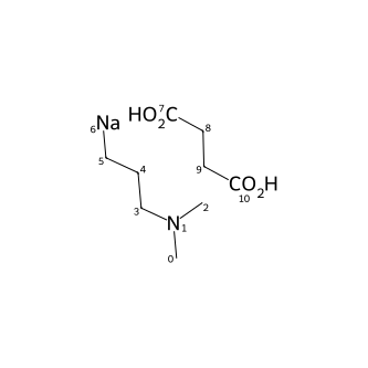 CN(C)CC[CH2][Na].O=C(O)CCC(=O)O